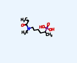 C=CC(=O)N(C)CCCCC(C)P(=O)(O)O